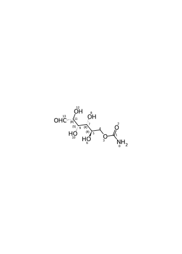 NC(=O)OC[C@@H](O)[C@@H](O)[C@H](O)[C@@H](O)C=O